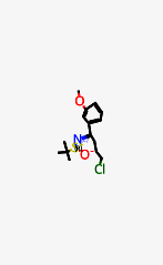 COc1cccc(/C(CCCCl)=N/[S@@+]([O-])C(C)(C)C)c1